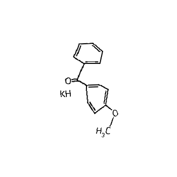 COc1ccc(C(=O)c2ccccc2)cc1.[KH]